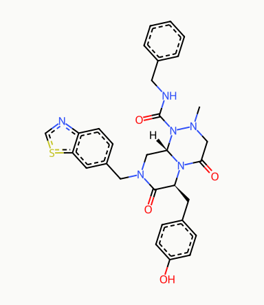 CN1CC(=O)N2[C@@H](Cc3ccc(O)cc3)C(=O)N(Cc3ccc4ncsc4c3)C[C@@H]2N1C(=O)NCc1ccccc1